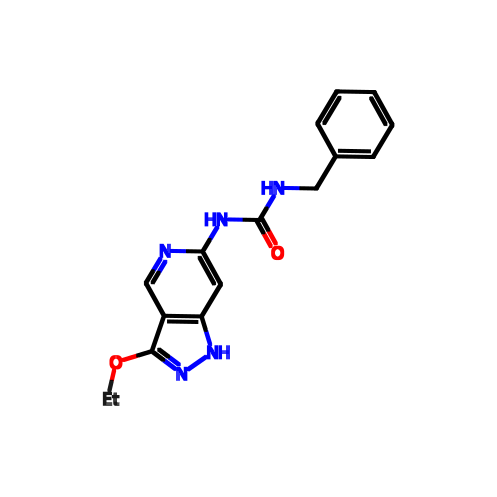 CCOc1n[nH]c2cc(NC(=O)NCc3ccccc3)ncc12